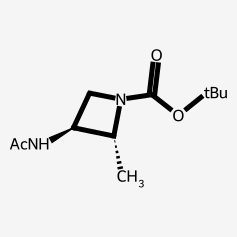 CC(=O)N[C@H]1CN(C(=O)OC(C)(C)C)[C@@H]1C